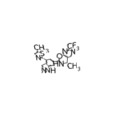 Cc1cnc(-c2cc(C(=O)NC(C)c3cnc(C(F)(F)F)nc3)cc3[nH]ncc23)s1